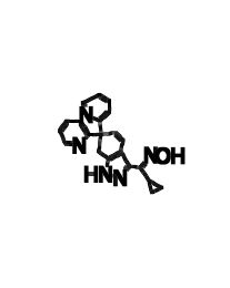 ON=C(c1n[nH]c2c1C=CC(c1ccccn1)(c1ccccn1)C2)C1CC1